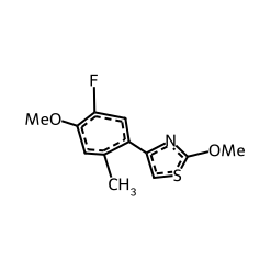 COc1nc(-c2cc(F)c(OC)cc2C)cs1